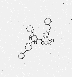 O=C(N[C@@H](COCc1ccccc1)C(=O)O)c1cc(N2CCCCC2)nc(N2CCC(c3ccccc3)CC2)n1